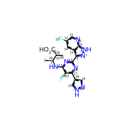 C[C@H](Nc1nc(-c2n[nH]c3ncc(F)cc23)nc(-c2cn[nH]c2)c1F)[C@H](C)C(=O)O